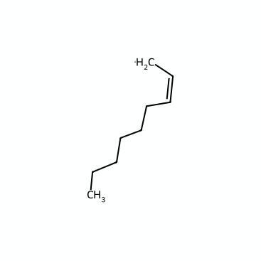 [CH2]/C=C\CCCCCC